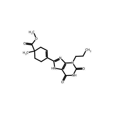 CCCn1c(=O)[nH]c(=O)c2[nH]c(C3=CCC(C)(C(=O)OC)CC3)nc21